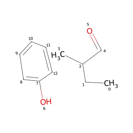 CCC(C)C=O.Oc1ccccc1